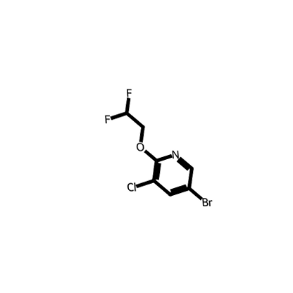 FC(F)COc1ncc(Br)cc1Cl